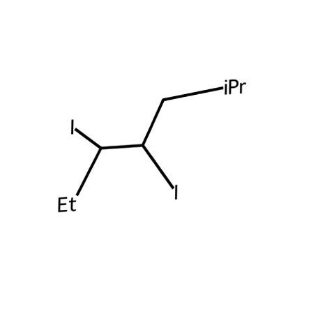 CCC(I)C(I)CC(C)C